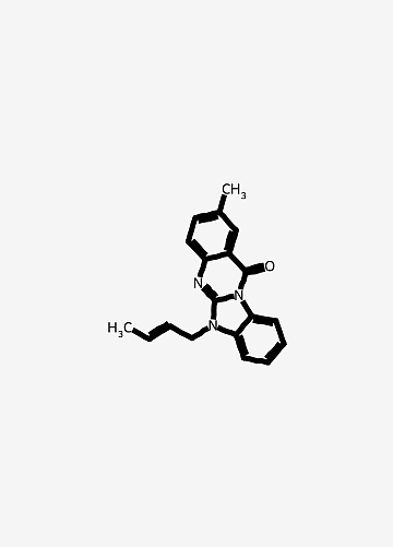 CC=CCn1c2ccccc2n2c(=O)c3cc(C)ccc3nc12